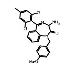 COc1ccc(CN2C(=O)C(N)N=C(c3c(Cl)cc(C)cc3Cl)c3ccccc32)cc1